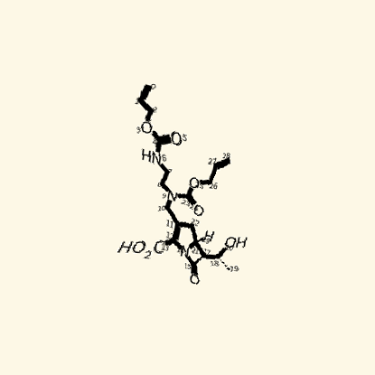 C=CCOC(=O)NCCN(CC1=C(C(=O)O)N2C(=O)[C@H]([C@@H](C)O)[C@H]2C1)C(=O)OCC=C